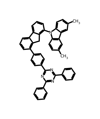 Cc1ccc2c(c1)c1cc(C)ccc1n2-c1cccc2c1Cc1c(-c3ccc(-c4nc(-c5ccccc5)nc(-c5ccccc5)n4)cc3)cccc1-2